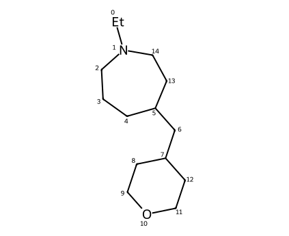 CCN1CCCC(CC2CCOCC2)CC1